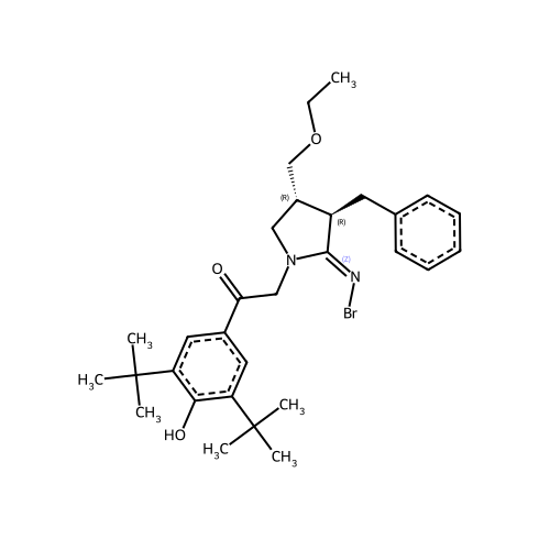 CCOC[C@H]1CN(CC(=O)c2cc(C(C)(C)C)c(O)c(C(C)(C)C)c2)/C(=N\Br)[C@@H]1Cc1ccccc1